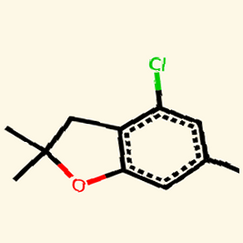 Cc1cc(Cl)c2c(c1)OC(C)(C)C2